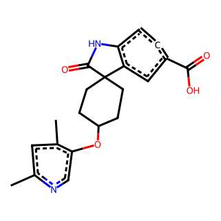 Cc1cc(C)c(OC2CCC3(CC2)C(=O)Nc2ccc(C(=O)O)cc23)cn1